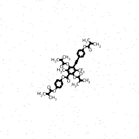 C=C(C)C(=O)Oc1ccc(C#Cc2c(OC(=O)C(=C)C)c(C)c(C(=O)Oc3ccc(OC(=O)C(=C)C)cc3)c(OC(=O)C(=C)C)c2C(F)(F)F)cc1